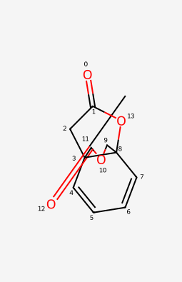 O=C1CC23C=CC=CC2(COC3=O)O1